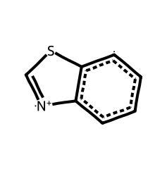 [c]1cccc2c1SC=[N+]2